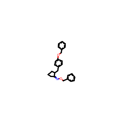 c1ccc(CON=C2CCCC2Cc2ccc(OCc3ccccc3)cc2)cc1